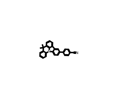 CC1(C)c2ccccc2-n2c3ccc(-c4ccc(C#N)cc4)cc3c3cccc1c32